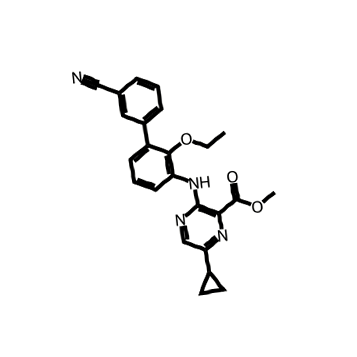 CCOc1c(Nc2ncc(C3CC3)nc2C(=O)OC)cccc1-c1cccc(C#N)c1